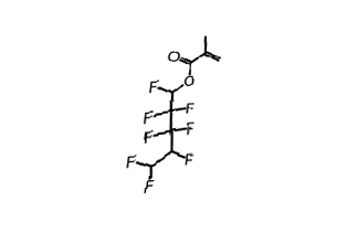 C=C(C)C(=O)OC(F)C(F)(F)C(F)(F)C(F)C(F)F